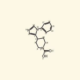 O=C(O)N1CCC(c2cncn2-c2ccccc2)CC1